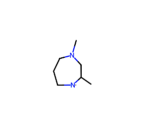 CC1CN(C)CCC[N]1